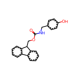 O=C(NCc1ccc(O)cc1)OCC1c2ccccc2-c2ccccc21